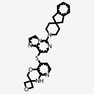 c1ccc2c(c1)CC1(CCN(c3ncc(Sc4ccnc5c4OCC4(COC4)N5)c4nccn34)CC1)C2